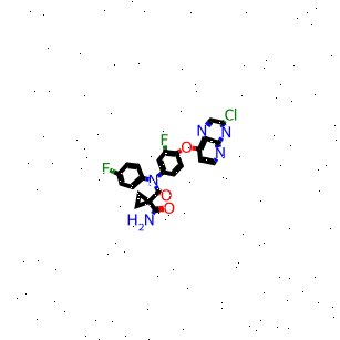 NC(=O)C1(C(=O)N(c2ccc(F)cc2)c2ccc(Oc3ccnc4nc(Cl)cnc34)c(F)c2)CC1